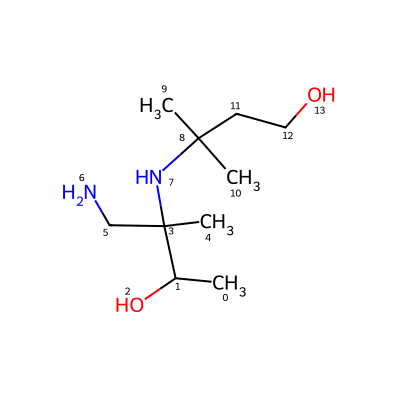 CC(O)C(C)(CN)NC(C)(C)CCO